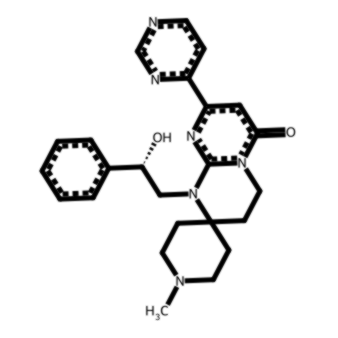 CN1CCC2(CC1)CCn1c(nc(-c3ccncn3)cc1=O)N2C[C@@H](O)c1ccccc1